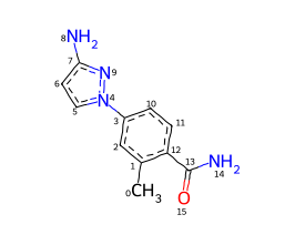 Cc1cc(-n2ccc(N)n2)ccc1C(N)=O